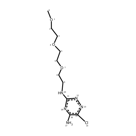 COCCOCCOCCNc1nnc(Cl)c(N)n1